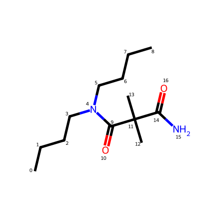 CCCCN(CCCC)C(=O)C(C)(C)C(N)=O